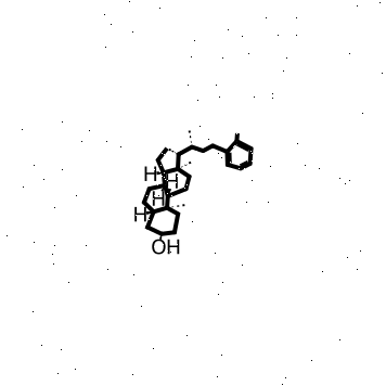 Cc1ccccc1CC[C@@H](C)[C@H]1CC[C@H]2[C@@H]3CC[C@H]4C[C@@H](O)CC[C@]4(C)[C@H]3CC[C@]12C